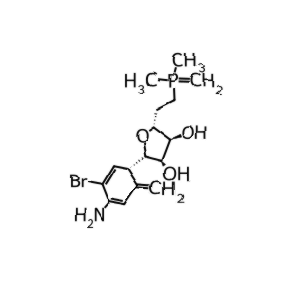 C=C1C=C(N)C(Br)=C[C@@H]1C1O[C@H](CCP(=C)(C)C)[C@@H](O)[C@H]1O